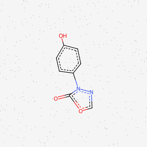 O=c1ocnn1-c1ccc(O)cc1